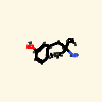 CC(C)([NH])Cc1cccc(O)c1